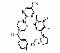 Cc1c(N2CCC[C@H]2COc2cc(C(=O)N3CCN(c4ccc(C#N)cn4)CC3)ccn2)cn[nH]c1=O